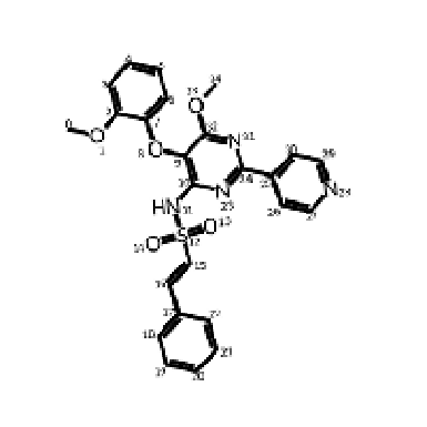 COc1ccccc1Oc1c(NS(=O)(=O)/C=C/c2ccccc2)nc(-c2ccncc2)nc1OC